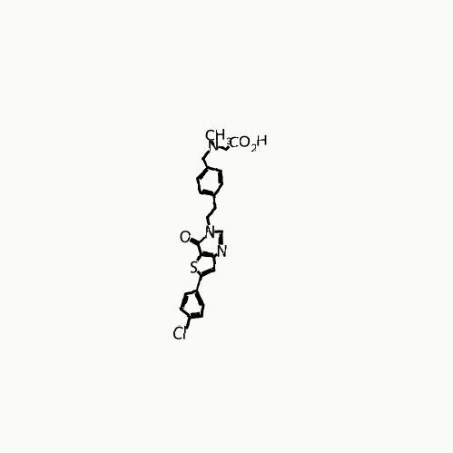 CN(CC(=O)O)Cc1ccc(CCn2cnc3cc(-c4ccc(Cl)cc4)sc3c2=O)cc1